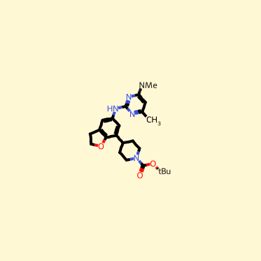 CNc1cc(C)nc(Nc2cc3c(c(C4CCN(C(=O)OC(C)(C)C)CC4)c2)OCC3)n1